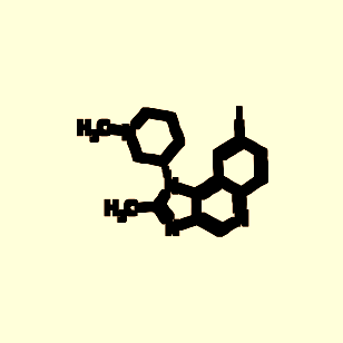 Cc1nc2cnc3ccc(I)cc3c2n1[C@H]1CCCN(C)C1